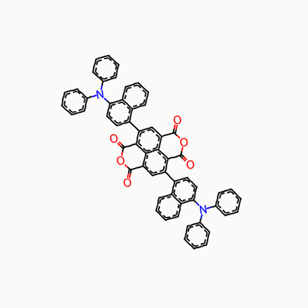 O=C1OC(=O)c2c(-c3ccc(N(c4ccccc4)c4ccccc4)c4ccccc34)cc3c4c(c(-c5ccc(N(c6ccccc6)c6ccccc6)c6ccccc56)cc1c24)C(=O)OC3=O